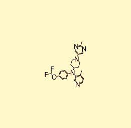 Cc1ncc(N2CCC(N(c3ccc(OC(F)F)cc3)c3cnccc3C)CC2)cn1